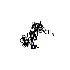 CCOC(=O)[C@@H]1CC[C@@H]2C=C[C@H]3CCN(C(=O)[C@@H]4CC[C@H]5C=C[C@]6(CCCN6C(=O)/C(Cc6ccccc6Cl)=N\c6ccc([N+](=O)[O-])c7nonc67)C(=O)N54)[C@@H]3C(=O)N21